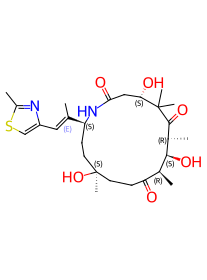 C/C(=C\c1csc(C)n1)[C@@H]1CC[C@](C)(O)CCC(=O)[C@H](C)[C@H](O)[C@@H](C)C(=O)C(C)(C)[C@@H](O)CC(=O)N1